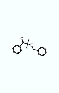 CC(C)(OCc1ccccc1)C(=O)c1ccccc1